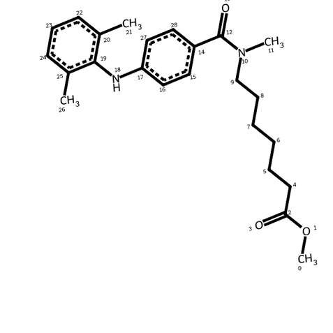 COC(=O)CCCCCCN(C)C(=O)c1ccc(Nc2c(C)cccc2C)cc1